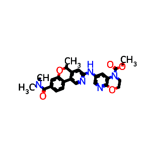 COC(=O)N1CCOc2ncc(Nc3cc4c(cn3)-c3ccc(C(=O)N(C)C)cc3OC4C)cc21